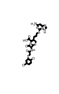 Nc1cc2nc[nH][n+]2c(SCC=CC2=C(C(=O)O)N3C(=O)C(NC(=O)CSc4cc(Cl)ccc4Cl)C3SC2)n1